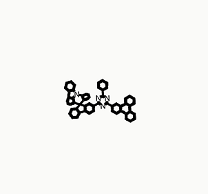 c1ccc(-c2nc(-c3ccc4c(c3)C3(c5ccccc5-4)c4ccccc4-n4c5ccccc5c5cccc3c54)nc(-c3ccc4c5ccccc5c5ccccc5c4c3)n2)cc1